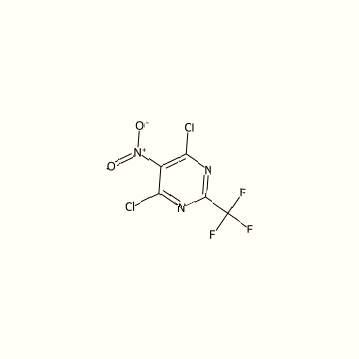 O=[N+]([O-])c1c(Cl)nc(C(F)(F)F)nc1Cl